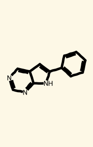 c1ccc(-c2cc3cncnc3[nH]2)cc1